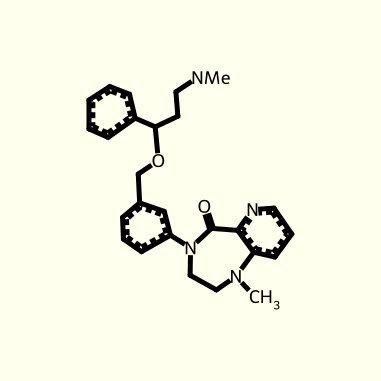 CNCCC(OCc1cccc(N2CCN(C)c3cccnc3C2=O)c1)c1ccccc1